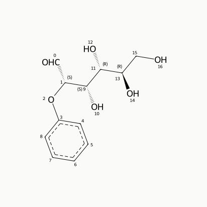 O=C[C@@H](Oc1ccccc1)[C@@H](O)[C@H](O)[C@H](O)CO